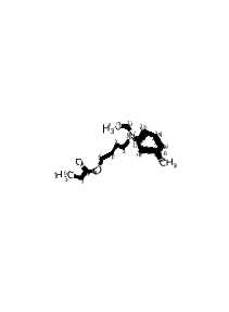 CCC(=O)OCCCCN(CC)c1cccc(C)c1